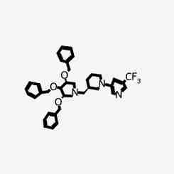 FC(F)(F)c1cncc(N2CCC[C@H](CN3C[C@H](OCc4ccccc4)C(OCc4ccccc4)[C@H](OCc4ccccc4)C3)C2)c1